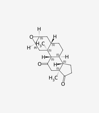 C[C@]12C[C@H]3O[C@H]3C[C@@H]1CC[C@@H]1[C@@H]2C(=O)C[C@]2(C)C(=O)CC[C@@H]12